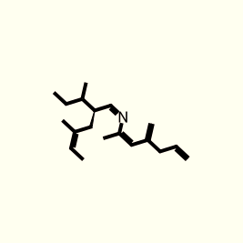 C=CCC(=C)/C=C(C)\N=C/[C@@H](C/C(C)=C\C)C(C)CC